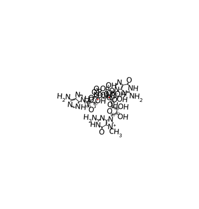 C[n+]1cn([C@H]2O[C@@H](COP(=O)(O)OP(=O)(O)OP(=O)(O)OC[C@@]34CO[C@@H]([C@H](n5cnc6c(N)ncnc65)O3)[C@@H]4OP(=O)(O)OC[C@H]3O[C@@H](n4cnc5c(=O)[nH]c(N)nc54)[C@H](O)[C@@H]3O)[C@H](O)[C@@H]2O)c2nc(N)[nH]c(=O)c21